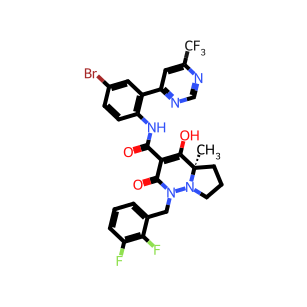 C[C@]12CCCN1N(Cc1cccc(F)c1F)C(=O)C(C(=O)Nc1ccc(Br)cc1-c1cc(C(F)(F)F)ncn1)=C2O